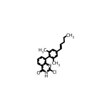 CCC/C=C/c1cc(C)c(-c2cccc3c(=O)[nH]c(Cl)nc23)c(C)c1